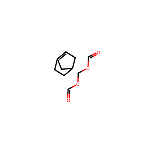 C1=C2CCC(C1)C2.O=COCOC=O